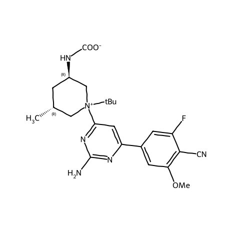 COc1cc(-c2cc([N+]3(C(C)(C)C)C[C@H](C)C[C@@H](NC(=O)[O-])C3)nc(N)n2)cc(F)c1C#N